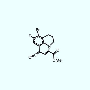 COC(=O)C1=CC(=C=O)c2cc(F)c(Br)c3c2N1CCC3